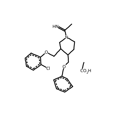 CC(=N)N1CCC(COc2ccccc2)C(COc2ccccc2Cl)C1.CC(=O)O